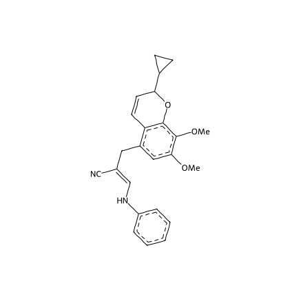 COc1cc(CC(C#N)=CNc2ccccc2)c2c(c1OC)OC(C1CC1)C=C2